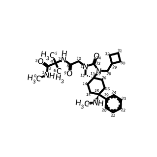 CNC(=O)C(C)(C)NC(=O)CN1C[C@]2(CC[C@@](NC)(c3ccccc3)CC2)N(CC2CCC2)C1=O